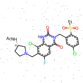 CCS(=O)(=O)c1ccc(Cl)cc1Cn1c(=O)[nH]c2c(Cl)c(CN3CC[C@H](NC(C)=O)C3)c(F)cc2c1=O